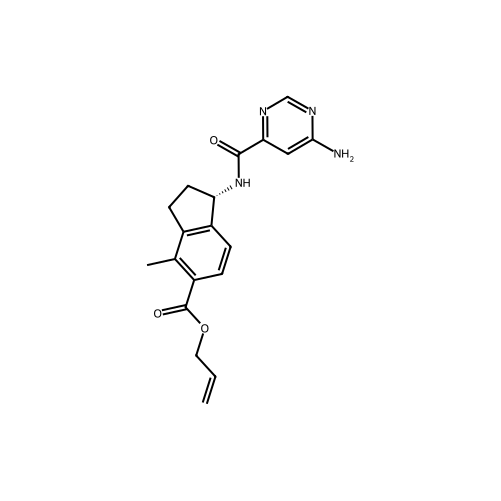 C=CCOC(=O)c1ccc2c(c1C)CC[C@@H]2NC(=O)c1cc(N)ncn1